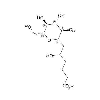 O=C(O)CCCC(O)C[C@@H]1O[C@H](CO)[C@@H](O)[C@H](O)[C@H]1O